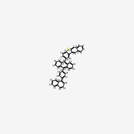 c1ccc2cc3c(cc2c1)sc1ccc(-c2c4ccccc4c(-c4ccc(-c5cccc6ccccc56)cc4)c4ccccc24)cc13